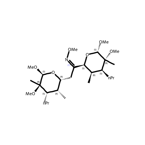 CCC[C@H]1[C@@H](C)[C@@H](/C(C[C@H]2O[C@H](OC)[C@](C)(OC)[C@@H](CCC)[C@H]2C)=N\OC)O[C@H](OC)[C@]1(C)OC